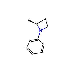 C[C@H]1CCN1c1c[c]ccc1